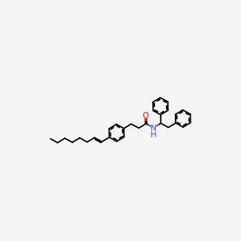 CCCCCCC=Cc1ccc(CCC(=O)NC(Cc2ccccc2)c2ccccc2)cc1